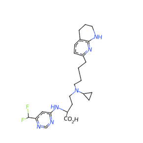 O=C(O)C(CCN(CCCCc1ccc2c(n1)NCCC2)C1CC1)Nc1cc(C(F)F)ncn1